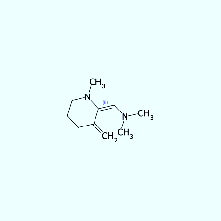 C=C1CCCN(C)/C1=C/N(C)C